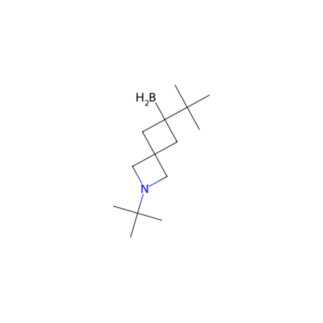 BC1(C(C)(C)C)CC2(CN(C(C)(C)C)C2)C1